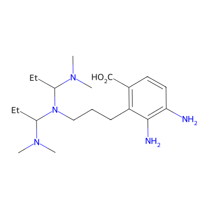 CCC(N(C)C)N(CCCc1c(C(=O)O)ccc(N)c1N)C(CC)N(C)C